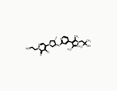 Cc1nn(CC(C)(C)O)c(C)c1-c1ccnc(O[C@H]2CN(c3cnn(CCO)c(=O)c3Cl)C[C@@H]2F)c1